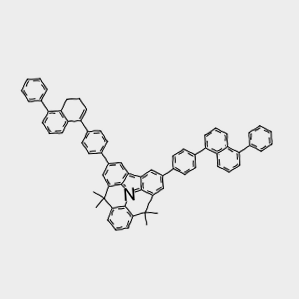 CC1(C)c2cccc3c2-n2c4c1cc(-c1ccc(C5=CCCc6c5cccc6-c5ccccc5)cc1)cc4c1cc(-c4ccc(-c5cccc6c(-c7ccccc7)cccc56)cc4)cc(c12)C3(C)C